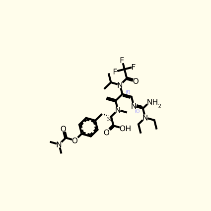 C=C(/C(=C\N=C(/N)N(CC)CC)N(C(=O)C(F)(F)F)C(C)C)N(C)[C@@H](Cc1ccc(OC(=O)N(C)C)cc1)C(=O)O